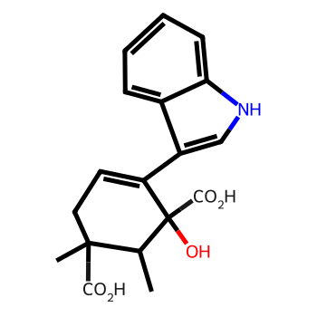 CC1C(C)(C(=O)O)CC=C(c2c[nH]c3ccccc23)C1(O)C(=O)O